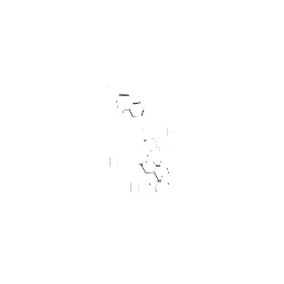 Cc1cc2c(N)ncnc2n1[C@@H]1O[C@H](COc2ccc3cc(Br)cnc3c2)[C@@H](O)[C@H]1O